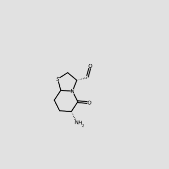 N[C@@H]1CCC2SC[C@H](C=O)N2C1=O